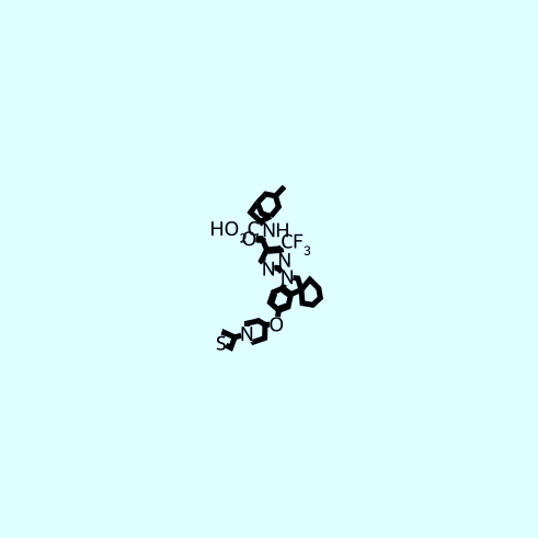 CC1CC2CC(C1)C(NC(=O)c1cnc(N3CC4(CCCCC4)c4cc(OC5CCN(C6CSC6)CC5)ccc43)nc1C(F)(F)F)(C(=O)O)C2